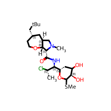 CSC1O[C@H]([C@H](NC(=O)[C@@H]2[C@@H]3OCC[C@H](CC(C)(C)C)C[C@H]3CN2C)[C@H](C)Cl)CC(O)[C@H]1O